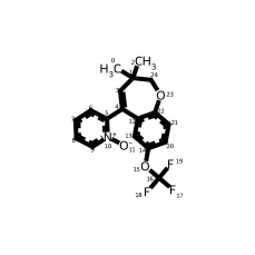 CC1(C)C=C(c2cccc[n+]2[O-])c2cc(OC(F)(F)F)ccc2OC1